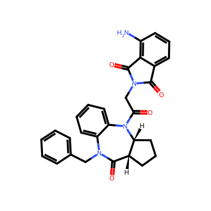 Nc1cccc2c1C(=O)N(CC(=O)N1c3ccccc3N(Cc3ccccc3)C(=O)[C@H]3CCC[C@H]31)C2=O